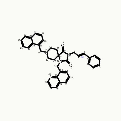 O=C1N(C/C=C/c2ccccc2)C(=O)C2(CCN(Cc3cccc4ccccc34)CC2)N1Cc1cccc2cccnc12